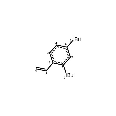 C=Cc1ccc(C(C)CC)cc1C(C)CC